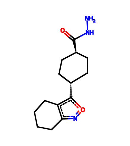 NNC(=O)[C@H]1CC[C@H](c2onc3c2CCCC3)CC1